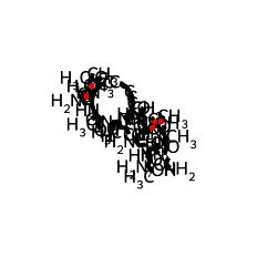 CC[C@H](C)[C@H](NC(=O)[C@H](C)NC(=O)[C@H](CC(N)=O)NC(=O)[C@H](CCC(N)=O)NC(=O)[C@@H](N)[C@@H](C)O)C(=O)N[C@@H](CC(=O)O)C(=O)N[C@@]1(C)CCC/C=C\CCC[C@@](C)(C(=O)C(C)(C)C)NC(=O)[C@H](CC(N)=O)NC(=O)[C@H]([C@@H](C)O)NC(=O)[C@H]([C@@H](C)CC)NC1=O